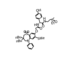 CCCCC1(CCCC)CN(c2ccccc2)c2cc(SC)c(OCC(=O)N[C@@H](C(=O)NCCP(C)(=O)CC)c3ccc(O)cc3)cc2S(=O)(=O)C1